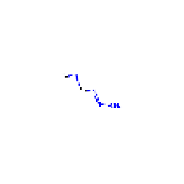 C=NCN=NN